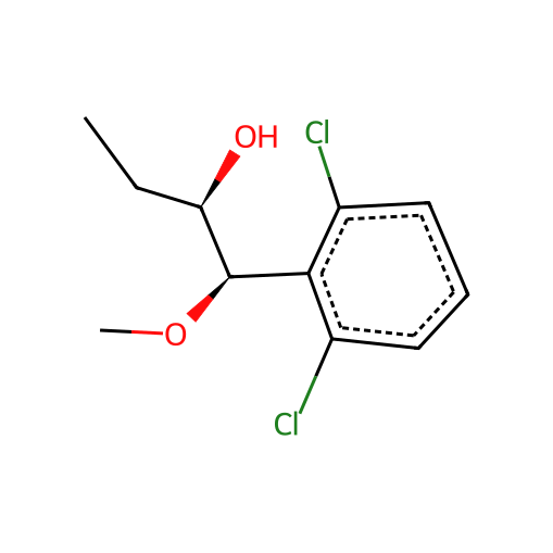 CC[C@@H](O)[C@H](OC)c1c(Cl)cccc1Cl